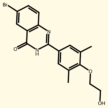 Cc1cc(-c2nc3ccc(Br)cc3c(=O)[nH]2)cc(C)c1OCCO